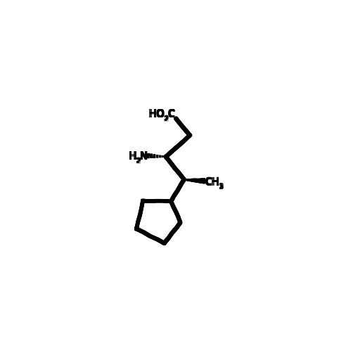 C[C@@H](C1CCCC1)[C@H](N)CC(=O)O